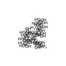 CC(C)[C@@H](OC(CO)[C@H](CO)O[C@@H]1OC(CO[C@H]2OC(CO)[C@@H](O)C(O)[C@H]2O[C@@H]2O[C@@H](CO)[C@@H](OC3OC(CO)[C@H](O)[C@H](O)C3O)C(O)C2C)[C@@H](O)C(O[C@H]2O[C@H](CO)[C@@H](O)C(O)C2O[C@@H]2OC(CO)[C@@H](O[C@@H]3OC(CO)[C@H](O)C(O)[C@@H]3O)C(O)[C@@H]2C)[C@H]1O)O[C@@H](CO)C(CO)O[C@@H](C)C(C)C